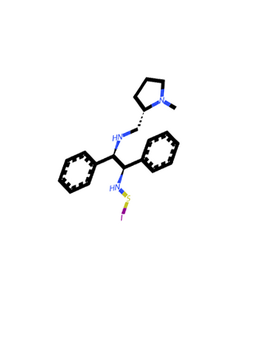 CN1CCC[C@H]1CN[C@H](c1ccccc1)[C@H](NSI)c1ccccc1